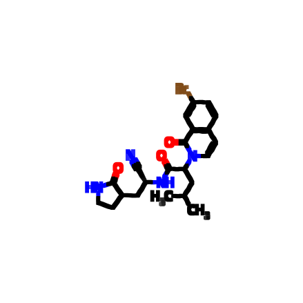 CC(C)CC(C(=O)N[C@H](C#N)CC1CCNC1=O)n1ccc2ccc(Br)cc2c1=O